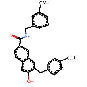 COc1cccc(CNC(=O)c2ccc3cc(O)c(Cc4ccc(C(=O)O)cc4)cc3c2)c1